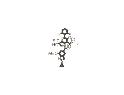 CCOc1c(C(N)=O)cc([C@](O)(CNC(=O)c2cc(OC)c3nn(C4CC4)cc3c2)C(F)(F)F)nc1-c1c(F)cccc1F